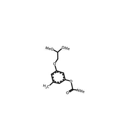 CNC(=O)Oc1cc(C)cc(OCC(OC)OC)c1